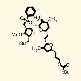 C=C1C[C@H](CCCOC(=O)C(C)(C)C)O[C@H]1CC[C@H]1C[C@@H](C)C(=C)[C@@H](C[C@@H]2O[C@H](C[C@H](C)CC)[C@H](OC)[C@H]2CS(=O)(=O)c2ccccc2)O1